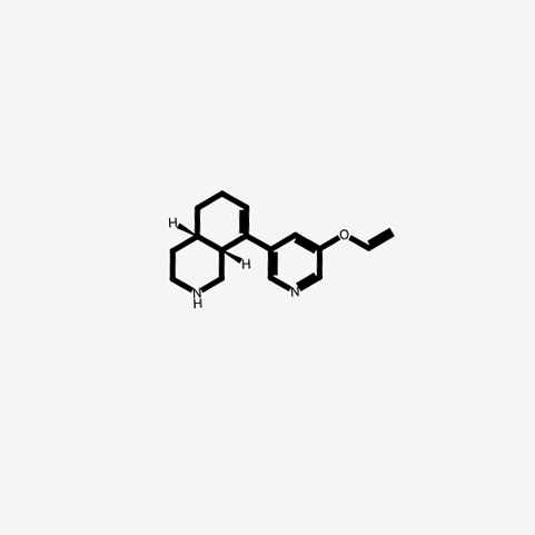 C=COc1cncc(C2=CCC[C@H]3CCNC[C@@H]23)c1